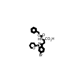 O=C(N[C@@H](Cc1nn(C2CCCCO2)c2cc(Br)ccc12)C(=O)O)OCc1ccccc1